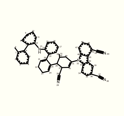 Cc1ccccc1-c1ccccc1Nc1ccccc1C1=CCCC=C1C1C(C#N)C=C(n2c3ccc(C#N)cc3c3c(C#N)cccc32)CC1C